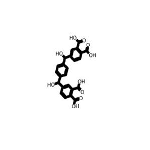 O=C(O)c1ccc(C(O)c2ccc(C(O)c3ccc(C(=O)O)c(C(=O)O)c3)cc2)cc1C(=O)O